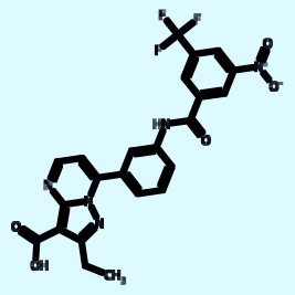 CCc1nn2c(-c3cccc(NC(=O)c4cc([N+](=O)[O-])cc(C(F)(F)F)c4)c3)ccnc2c1C(=O)O